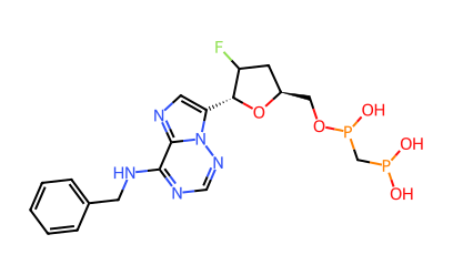 OP(O)CP(O)OC[C@@H]1CC(F)[C@@H](c2cnc3c(NCc4ccccc4)ncnn23)O1